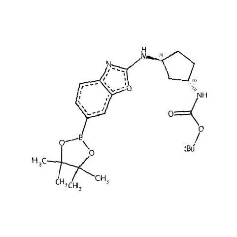 CC(C)(C)OC(=O)N[C@H]1CC[C@H](Nc2nc3ccc(B4OC(C)(C)C(C)(C)O4)cc3o2)C1